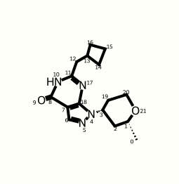 C[C@@H]1C[C@H](n2ncc3c(=O)[nH]c(CC4CCC4)nc32)CCO1